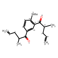 C=CCC(C)C(=O)c1ccc(NC)c(C(=O)C(C)CC=C)c1